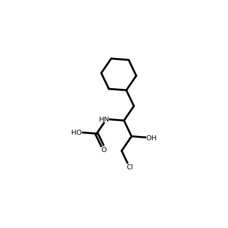 O=C(O)NC(CC1CCCCC1)C(O)CCl